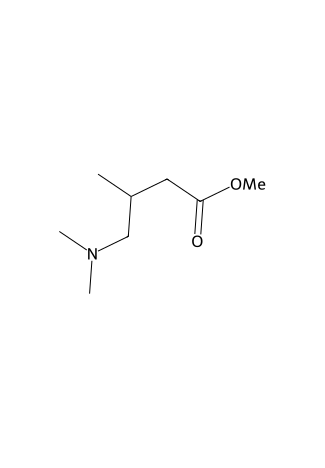 COC(=O)CC(C)CN(C)C